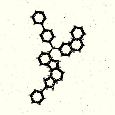 c1ccc(-c2ccc(N(c3ccc4ccc5ccccc5c4c3)c3cccc4c3oc3ccc5oc(-c6ccccc6)nc5c34)cc2)cc1